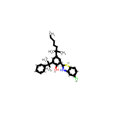 CCCCCC(C)(C)c1cc(C2Nc3cc(Cl)ccc3S2)c(O)c(C(C)(C)c2ccccc2)c1